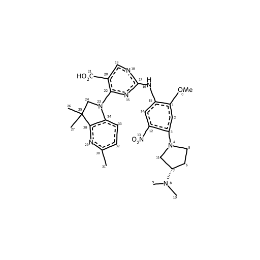 COc1cc(N2CC[C@H](N(C)C)C2)c([N+](=O)[O-])cc1Nc1ncc(C(=O)O)c(N2CC(C)(C)c3nc(C)ccc32)n1